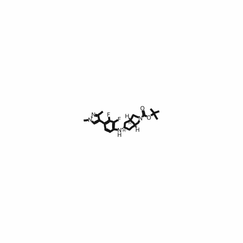 Cc1nn(C)cc1-c1ccc(N[C@@H]2C[C@@H]3CN(C(=O)OC(C)(C)C)C[C@@H]3C2)c(F)c1F